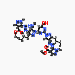 CCCCc1nn(-c2nc(O)cc(-n3nc(CCCC)c(/N=N/c4c(C(=O)OC)cnn4C)c3NC)n2)cc1/N=N/c1c(C(=O)OC)cnn1C